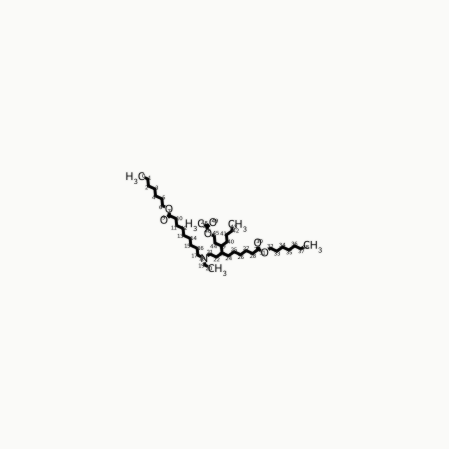 CCCCCCCOC(=O)CCCCCCCCN(CC)CCC(CCCCCC(=O)OCCCCCCC)C(CCCC)CCOC(C)=O